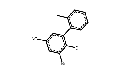 Cc1ccccc1-c1cc(C#N)cc(Br)c1O